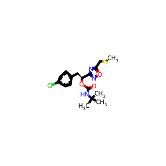 CSCc1nc([C@H](Cc2ccc(Cl)cc2)OC(=O)NC(C)(C)C)no1